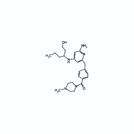 CCCC(CCO)Nc1cc(N)nc(Cc2ccc(C(=O)N3CCN(C)CC3)cc2)c1